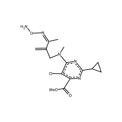 C=C(CN(C)c1nc(C2CC2)nc(C(=O)OC)c1Cl)/C(C)=N\ON